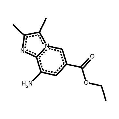 CCOC(=O)c1cc(N)c2nc(C)c(C)n2c1